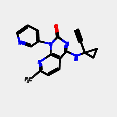 C#CC1(Nc2nc(=O)n(-c3cccnc3)c3nc(C(F)(F)F)ccc23)CC1